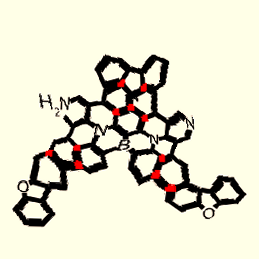 C/C(=C(\C(=C/N)c1ccccc1)N1c2cc(-c3ccc4oc5ccccc5c4c3)ccc2B2c3ccc(-c4ccc5oc6ccccc6c5c4)cc3N(c3c(-c4ccccc4)cncc3-c3ccccc3)c3cc(-n4c5ccccc5c5ccccc54)cc1c32)c1ccccc1